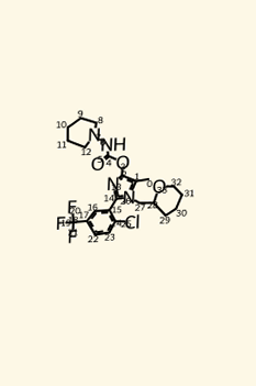 Cc1c(OC(=O)NN2CCCCC2)nc(-c2cc(C(F)(F)F)ccc2Cl)n1CC1CCCCO1